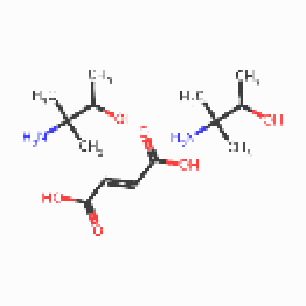 CC(O)C(C)(C)N.CC(O)C(C)(C)N.O=C(O)/C=C/C(=O)O